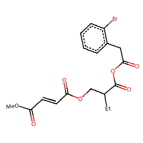 CCC(COC(=O)/C=C/C(=O)OC)C(=O)OC(=O)Cc1ccccc1Br